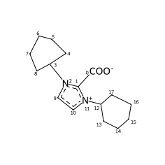 O=C([O-])c1n(C2CCCCC2)cc[n+]1C1CCCCC1